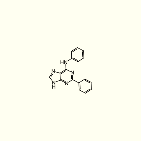 c1ccc(Nc2nc(-c3ccccc3)nc3[nH]cnc23)cc1